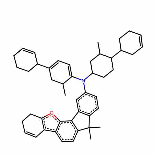 CC1CC(C2C=CCCC2)=CC=C1N(c1ccc2c(c1)-c1c(ccc3c4c(oc13)CCC=C4)C2(C)C)C1CCC(C2CC=CCC2)C(C)C1